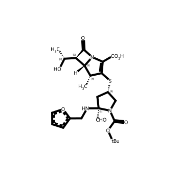 C[C@@H](O)[C@H]1C(=O)N2C(C(=O)O)=C(S[C@@H]3CN(C(=O)OC(C)(C)C)[C@@](C=O)(NCc4ccco4)C3)[C@H](C)[C@H]12